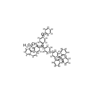 CC1(C)c2cccc3ccc4cc(N(c5ccc(Oc6ccccc6)cc5)c5ccc(-c6ccc([Si](c7ccccc7)(c7ccccc7)c7ccccc7)cc6)cc5)cc1c4c23